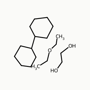 C1CCC(C2CCCCC2)CC1.CCOCC.OCCO